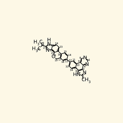 Cc1nc2c3ncncc3c3cc(-c4ccc5c(c4)COc4c-5ccc5[nH]c(C(C)C)nc45)ccc3c2[nH]1